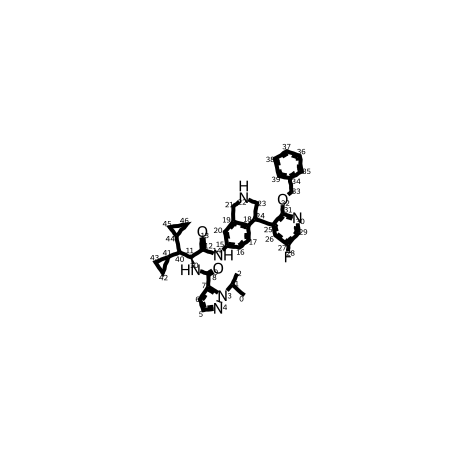 CC(C)n1nccc1C(=O)N[C@H](C(=O)Nc1ccc2c(c1)CNCC2c1cc(F)cnc1OCc1ccccc1)C(C1CC1)C1CC1